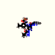 CONC(=O)c1cnc(NC(=O)C2CC2(C)C)cc1Nc1ccc(C2CC2)cc1N(C)S(C)(=O)=O